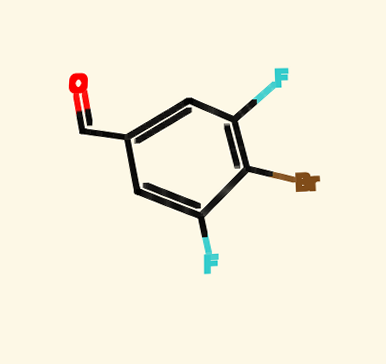 O=Cc1cc(F)c(Br)c(F)c1